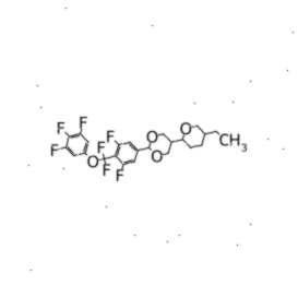 CCC1CCC(C2COC(c3cc(F)c(C(F)(F)Oc4cc(F)c(F)c(F)c4)c(F)c3)OC2)OC1